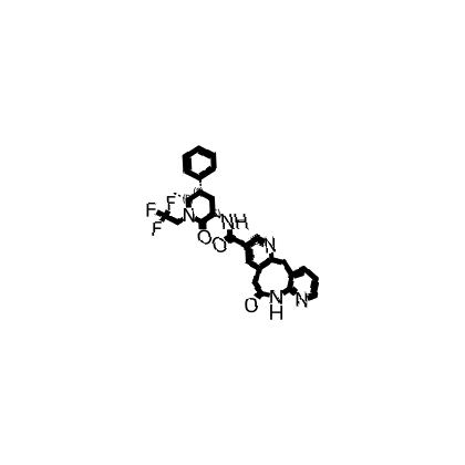 C[C@@H]1[C@H](c2ccccc2)C[C@H](NC(=O)c2cnc3c(c2)CC(=O)Nc2ncccc2C3)C(=O)N1CC(F)(F)F